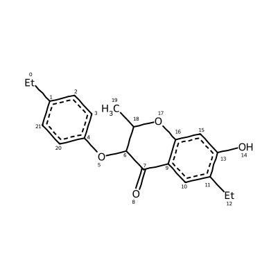 CCc1ccc(OC2C(=O)c3cc(CC)c(O)cc3OC2C)cc1